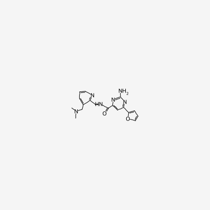 CN(C)Cc1cccnc1CNC(=O)c1cc(-c2ccco2)nc(N)n1